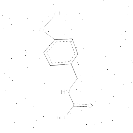 CCCC(=O)NCc1ccc(OC(F)(F)F)cc1